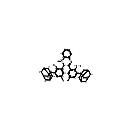 Cc1cc(/C=N/c2ccccc2N(C)Cc2cc(C)cc(C34CC5CC(CC(C5)C3)C4)c2O)c(O)c(C23CC4CC(CC(C4)C2)C3)c1